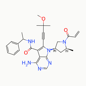 C=CC(=O)N1C[C@H](n2c(C#CC(C)(C)OC)c(C(=O)NC(C)c3ccccc3)c3c(N)ncnc32)C[C@@H]1C